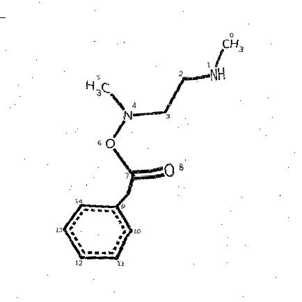 CNCCN(C)OC(=O)c1ccccc1